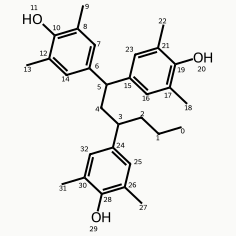 CCCC(CC(c1cc(C)c(O)c(C)c1)c1cc(C)c(O)c(C)c1)c1cc(C)c(O)c(C)c1